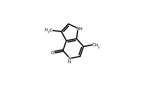 Cc1c[nH]c(=O)c2c(C)c[nH]c12